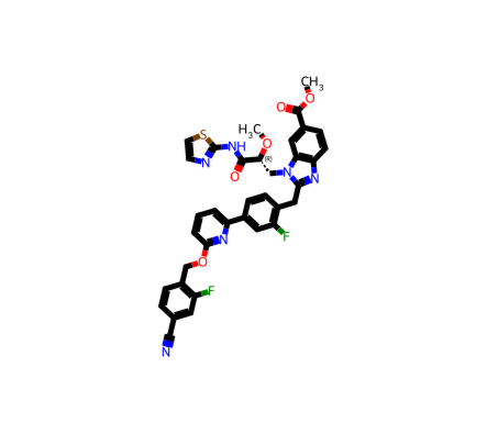 COC(=O)c1ccc2nc(Cc3ccc(-c4cccc(OCc5ccc(C#N)cc5F)n4)cc3F)n(C[C@@H](OC)C(=O)Nc3nccs3)c2c1